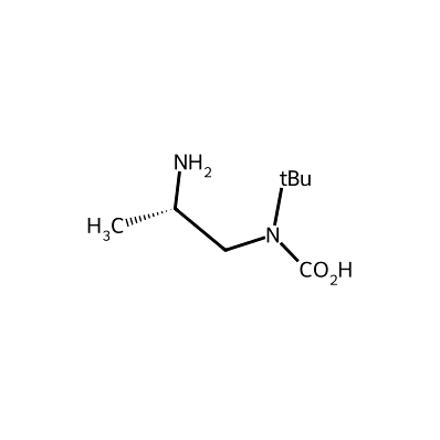 C[C@H](N)CN(C(=O)O)C(C)(C)C